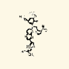 COc1cc(OC)c(F)c(N(Cc2nccn2[SH](=O)=O)c2ccc3ncc(-c4cnn(CC(C)(C)O)c4)nc3n2)c1